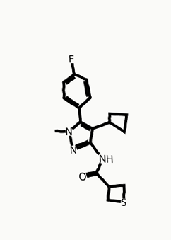 Cn1nc(NC(=O)C2CSC2)c(C2CCC2)c1-c1ccc(F)cc1